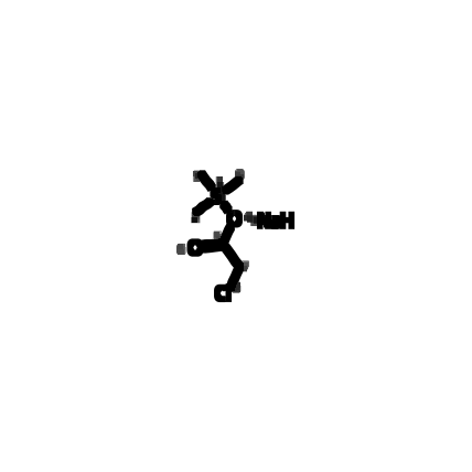 C[Si](C)(C)OC(=O)CCl.[NaH]